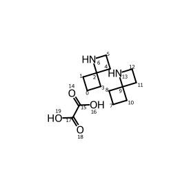 C1CC2(C1)CCN2.C1CC2(C1)CCN2.O=C(O)C(=O)O